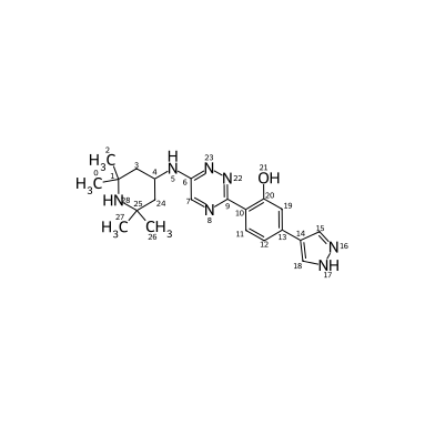 CC1(C)CC(Nc2cnc(-c3ccc(-c4cn[nH]c4)cc3O)nn2)CC(C)(C)N1